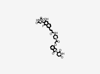 O=C(/C=C/c1ccc2cc(O)c(N3CC(=O)NS3(=O)=O)c(F)c2c1)NC1CCN(C(=O)COc2cccc3c2CN(C2CCC(=O)NC2=O)C3=O)CC1